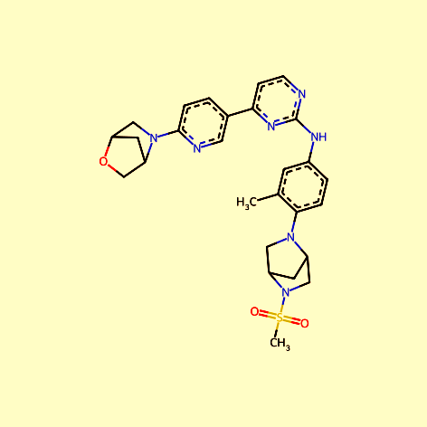 Cc1cc(Nc2nccc(-c3ccc(N4CC5CC4CO5)nc3)n2)ccc1N1CC2CC1CN2S(C)(=O)=O